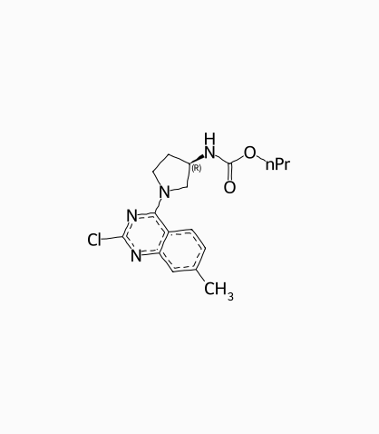 CCCOC(=O)N[C@@H]1CCN(c2nc(Cl)nc3cc(C)ccc23)C1